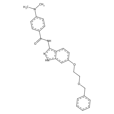 CN(C)c1ccc(C(=O)Nc2n[nH]c3cc(OCCOCc4ccccc4)ccc23)cc1